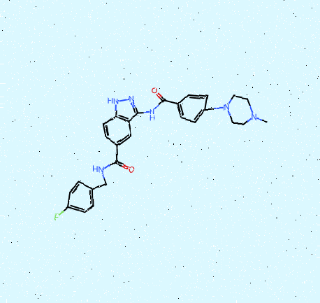 CN1CCN(c2ccc(C(=O)Nc3n[nH]c4ccc(C(=O)NCc5ccc(F)cc5)cc34)cc2)CC1